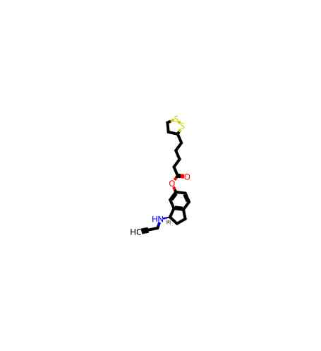 C#CCN[C@@H]1CCc2ccc(OC(=O)CCCCC3CCSS3)cc21